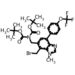 Cn1cnc2c(-c3ccc(OC(F)(F)F)cc3)cc(CN(C(=O)OC(C)(C)C)C(=O)OC(C)(C)C)c(CBr)c21